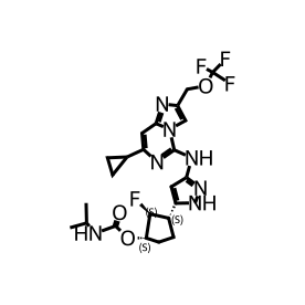 CC(C)NC(=O)O[C@H]1CC[C@@H](c2cc(Nc3nc(C4CC4)cc4nc(COC(F)(F)F)cn34)n[nH]2)[C@@H]1F